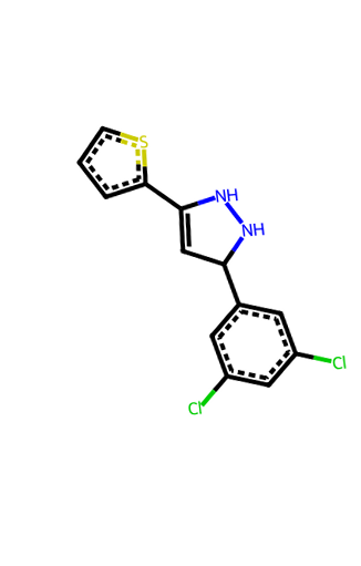 Clc1cc(Cl)cc(C2C=C(c3cccs3)NN2)c1